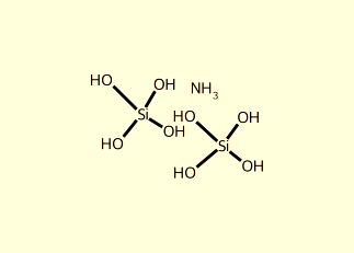 N.O[Si](O)(O)O.O[Si](O)(O)O